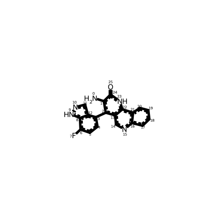 Nc1c(-c2ccc(F)c3[nH]ncc23)c2cnc3ccccc3c2[nH]c1=O